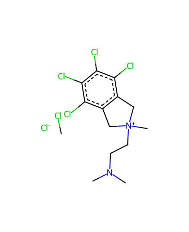 CCl.CN(C)CC[N+]1(C)Cc2c(Cl)c(Cl)c(Cl)c(Cl)c2C1.[Cl-]